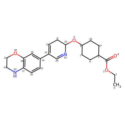 CCOC(=O)C1CCC(OC2CC=C(c3ccc4c(c3)OCCN4)C=N2)CC1